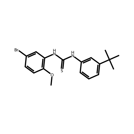 COc1ccc(Br)cc1NC(=S)Nc1cccc(C(C)(C)C)c1